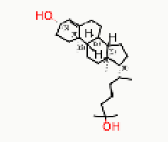 CC(CCCC(C)(C)O)[C@H]1CC[C@H]2[C@@H]3CCC4=C[C@@H](O)CC[C@]4(C)[C@H]3CC[C@]12C